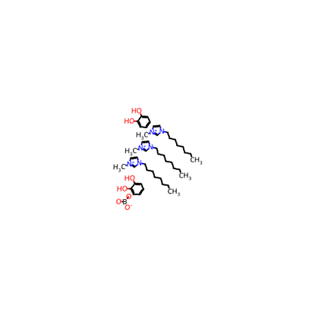 CCCCCCCCn1cc[n+](C)c1.CCCCCCCCn1cc[n+](C)c1.CCCCCCCCn1cc[n+](C)c1.Oc1ccccc1O.Oc1ccccc1O.[O-]B([O-])[O-]